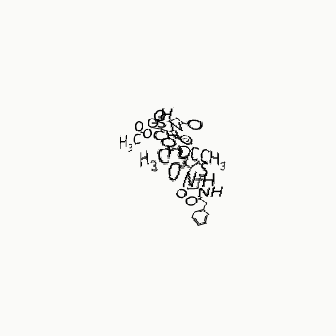 CC(=O)OC[C@@]1(C)[C@H](C(=O)OC(C)OC(=O)[C@@H]2N3C(=O)[C@@H](NC(=O)Cc4ccccc4)[C@H]3SC2(C)C)N2C(=O)C[C@H]2S1(=O)=O